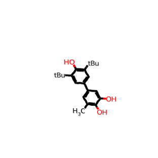 Cc1cc(-c2cc(C(C)(C)C)c(O)c(C(C)(C)C)c2)cc(O)c1O